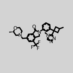 CC1CC(c2cccc(N3Cc4c(cc(CN5CCO[C@H](C)C5)cc4C(F)(F)F)C3=O)c2)(c2nncn2C)C1